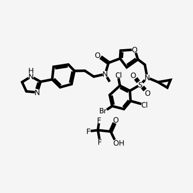 CN(CCc1ccc(C2=NCCN2)cc1)C(=O)c1coc(CN(C2CC2)S(=O)(=O)c2c(Cl)cc(Br)cc2Cl)c1.O=C(O)C(F)(F)F